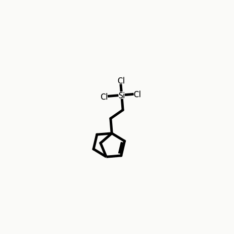 Cl[Si](Cl)(Cl)CCC12C=CC(CC1)C2